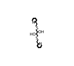 O[C@H](CSCCc1ccccn1)[C@@H](O)CSCCc1ccccn1